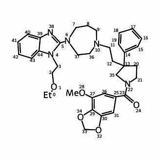 CCOCCn1c(N2CCCN(CCC3(c4ccccc4)CCN(C(=O)c4cc(OC)c5c(c4)OCO5)C3)CC2)nc2ccccc21